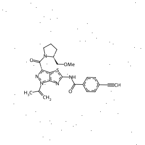 C#Cc1ccc(C(=O)Nc2nc3c(s2)c(C(=O)N2CCC[C@H]2COC)nn3C(=C)C)cc1